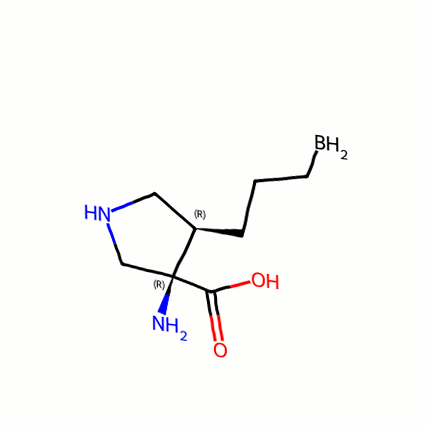 BCCC[C@@H]1CNC[C@@]1(N)C(=O)O